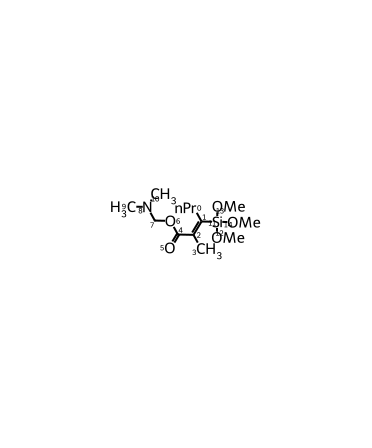 CCCC(=C(C)C(=O)OCN(C)C)[Si](OC)(OC)OC